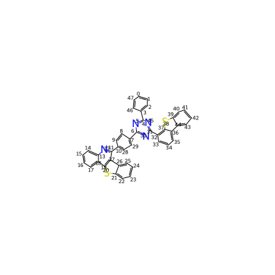 c1ccc(-c2nc(-c3ccc(-c4nc5ccccc5c5sc6ccccc6c45)cc3)nc(-c3cccc4c3sc3ccccc34)n2)cc1